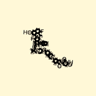 CCc1c(F)ccc2cc(O)cc(-c3ncc4c(N5CC6CCC(C5)N6)nc(OCC5(CN6CCC(OC7CCC8(CC7)CCN(c7ccc9c(c7)CN(C7CCC(=O)NC7=O)C9=O)CC8)CC6)CC5)nc4c3F)c12